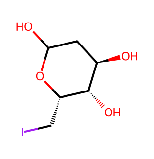 OC1C[C@@H](O)[C@H](O)[C@H](CI)O1